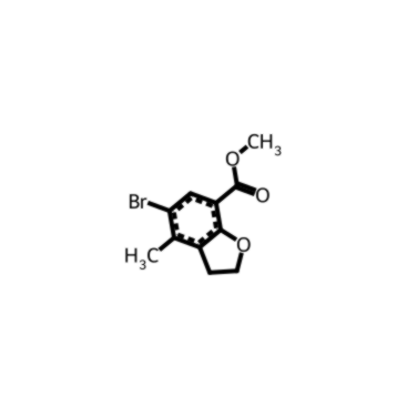 COC(=O)c1cc(Br)c(C)c2c1OCC2